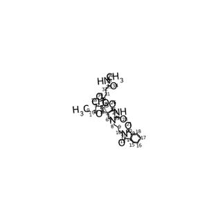 CC[C@H]1O[C@@H](c2cn(CCCN3C(=O)c4ccccc4C3=O)c(=O)[nH]c2=O)[C@@H](OC(=O)CCC(=O)NC)C1C